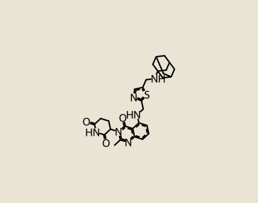 Cc1nc2cccc(NCc3ncc(CNC45CC6CC(CC(C6)C4)C5)s3)c2c(=O)n1C1CCC(=O)NC1=O